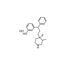 CC1CNCCC1(F)CCC(c1ccccc1)c1cccc(O)c1.Cl